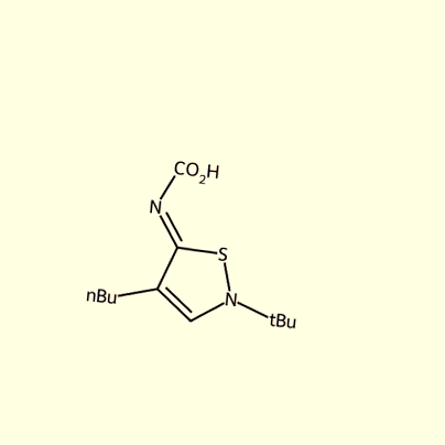 CCCCc1cn(C(C)(C)C)sc1=NC(=O)O